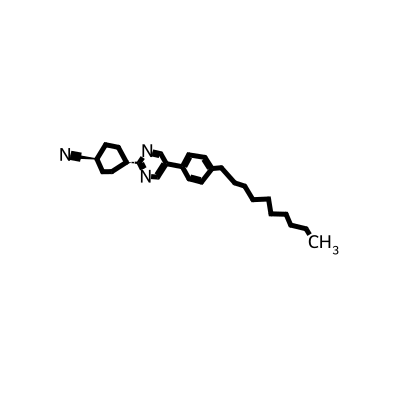 CCCCCCCCCCc1ccc(-c2cnc([C@H]3CC[C@H](C#N)CC3)nc2)cc1